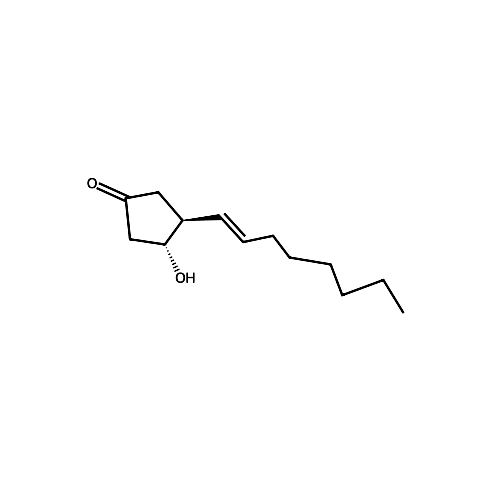 CCCCCC/C=C/[C@@H]1CC(=O)C[C@H]1O